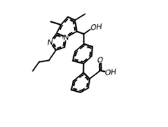 CCCc1cn2c(C(O)c3ccc(-c4ccccc4C(=O)O)cc3)c(C)cc(C)c2n1